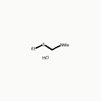 CCSCNC.Cl